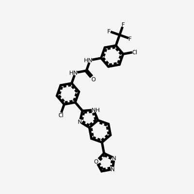 O=C(Nc1ccc(Cl)c(-c2nc3cc(-c4nnco4)ccc3[nH]2)c1)Nc1ccc(Cl)c(C(F)(F)F)c1